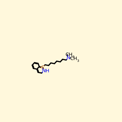 CN(C)CCCCCCCCS1=c2ccccc2=CCN1